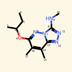 CCC(C)Oc1nn2c(NC)nnc2c(C)c1C